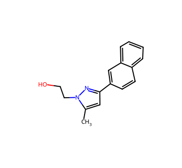 Cc1cc(-c2ccc3ccccc3c2)nn1CCO